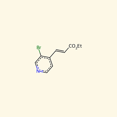 CCOC(=O)C=Cc1ccncc1Br